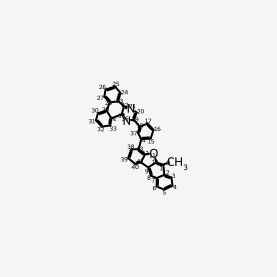 Cc1c2ccccc2cc2c1oc1c(-c3cccc(-c4cnc5c6ccccc6c6ccccc6c5n4)c3)cccc12